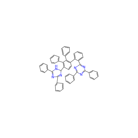 c1ccc(C2=NC(c3ccc(-c4ccccc4-c4nc(-c5ccccc5)nc(-c5ccccc5)n4)c(-c4ccccc4)c3-c3ccccc3)NC(c3ccccc3)=N2)cc1